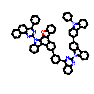 c1ccc(-c2nc(-n3c4ccccc4c4c5cc(-c6cccc(-c7nc(-n8c9ccccc9c9cc(-c%10ccc%11c(c%10)c%10ccccc%10n%11-c%10ccccc%10)ccc98)nc8ccccc78)c6)ccc5c5c6ccccc6oc5c43)nc3c2ccc2ccccc23)cc1